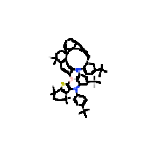 CC(C)(C)c1ccc(N2c3cc(C(C)(C)C)cc4c3B(c3cc5c6cc3N4c3ccc(C(C)(C)C)cc3-c3ccc4c(cccc4c3)C6(C)CCC5(C)C)c3sc4c(c32)C(C)(C)CCC4(C)C)cc1